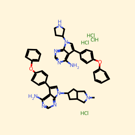 CN1CC2CC(n3cc(-c4ccc(Oc5ccccc5)cc4)c4c(N)ncnc43)CC2C1.Cl.Cl.Cl.Cl.Nc1ncnc2c1c(-c1ccc(Oc3ccccc3)cc1)cn2C1CCNC1